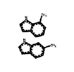 Cc1ccc2cc[nH]c2c1.Cc1cccc2cc[nH]c12